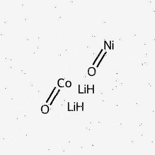 [LiH].[LiH].[O]=[Co].[O]=[Ni]